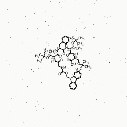 C[C@@H](OC(C)(C)C)[C@H](NC(=O)CNC(=O)OCC1c2ccccc2-c2ccccc21)C(=O)N[C@@H](Cc1ccccc1)C(=O)N[C@H](C(=O)N[C@@H](COC(C)(C)C)C(=O)O)[C@@H](C)OC(C)(C)C